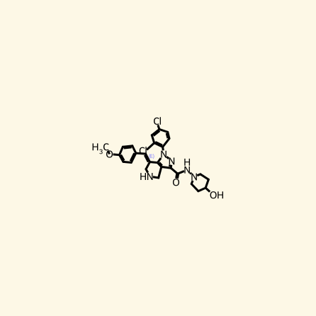 COc1ccc(/C=C2\CNCc3c(C(=O)NN4CCC(O)CC4)nn(-c4ccc(Cl)cc4Cl)c32)cc1